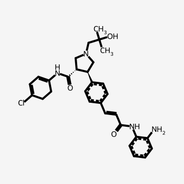 CC(C)(O)CN1C[C@@H](C(=O)NC2=CC=C(Cl)CC2)[C@H](c2ccc(/C=C/C(=O)Nc3ccccc3N)cc2)C1